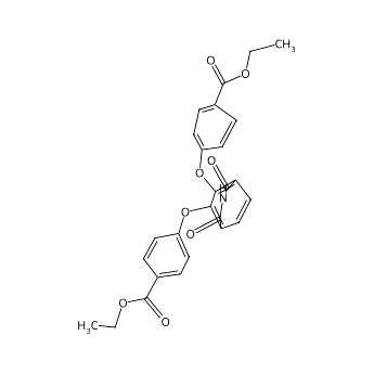 CCOC(=O)c1ccc(Oc2c(Oc3ccc(C(=O)OCC)cc3)c3ccc2c(=O)[nH]c3=O)cc1